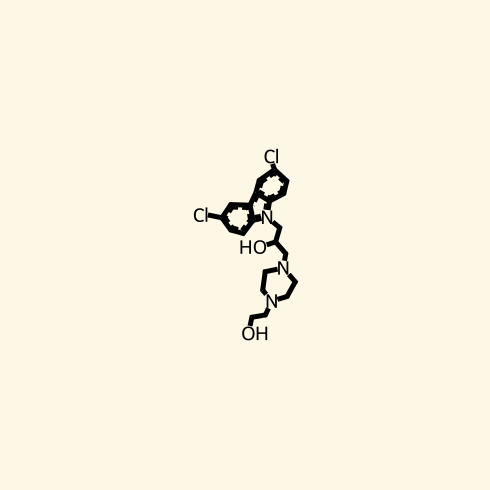 OCCN1CCN(CC(O)Cn2c3ccc(Cl)cc3c3cc(Cl)ccc32)CC1